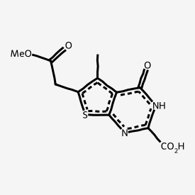 COC(=O)Cc1sc2nc(C(=O)O)[nH]c(=O)c2c1C